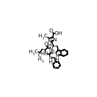 Cc1[nH]c([C@@H](Cc2c[nH]c3ccccc23)NC(=O)[C@H](CC(C)C)NC(=O)NCc2ccccc2)nc1C(=O)O